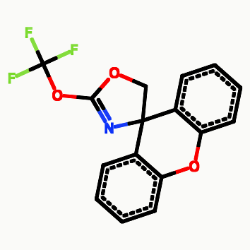 FC(F)(F)OC1=NC2(CO1)c1ccccc1Oc1ccccc12